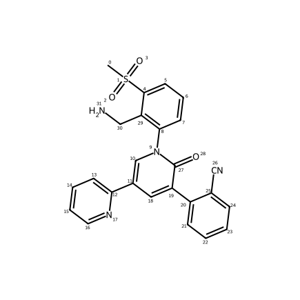 CS(=O)(=O)c1cccc(-n2cc(-c3ccccn3)cc(-c3ccccc3C#N)c2=O)c1CN